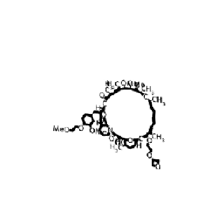 COCCO[C@@H]1CC[C@@H](CC2[C@H]3CCCN4C(=O)C(=O)[C@]5(O)O[C@@H](CC[C@H]5C)CC(OCCOC5COC5)/C(C)=C/C=C/C=C/[C@@H](C)C[C@@H](C)C(=O)[C@H](OC)[C@H](OC)/C(C)=C/[C@@H](C)C(=O)C[C@@H]2OC(=O)C34)C[C@H]1OC